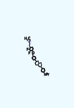 C/C=C/CCc1ccc(OCc2ccc(C3CCC4CC(c5ccc(CCC)cc5)CCC4C3)cc2)c(F)c1F